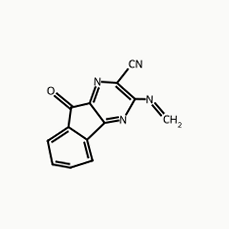 C=Nc1nc2c(nc1C#N)C(=O)c1ccccc1-2